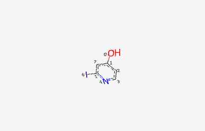 Oc1ccnc(I)c1